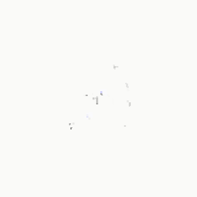 C=C(CC/C=C(\C)[S+]([O-])N1CC(CCC(O)O)CC/C(OC)=C\CC1C)c1cnn(CC(C)C)c1